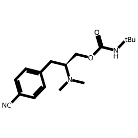 CN(C)[C@H](COC(=O)NC(C)(C)C)Cc1ccc(C#N)cc1